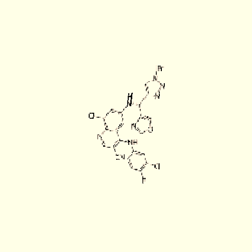 CC(C)n1cc([C@@H](Nc2cc(Cl)c3ncc(C#N)c(Nc4ccc(F)c(Cl)c4)c3c2)c2cocn2)nn1